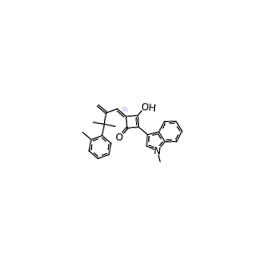 C=C(/C=C1\C(=O)C(c2cn(C)c3ccccc23)=C1O)C(C)(C)c1ccccc1C